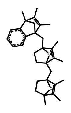 CC1=C(C)C2(CC34CCC(CC56CC(C)(C(C)=C5C)c5ccccc56)(O3)C(C)=C4C)CCC1(C)O2